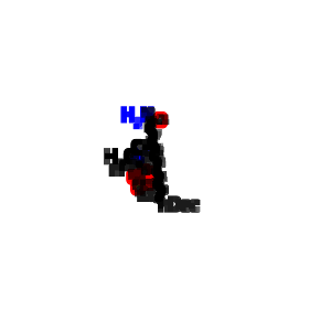 CCCC(CC)[N+](C)(C)CC.CCCCCCCCCCCCCCCCCCCCCC(N)=O.CCOS(=O)(=O)[O-]